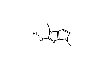 CCOc1nc2c(ccn2C)n1C